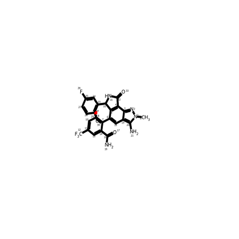 Cn1nc2c3c(c(-c4c(F)cc(C(F)(F)F)cc4C(N)=O)cc2c1N)C(c1cc(F)ccc1Cl)NC3=O